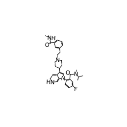 CNC(=O)c1cccc(CCN2CCC(c3cn(-c4ccc(F)cc4C(=O)N(C)C(C)C)c4c3=CCNC=4)CC2)c1